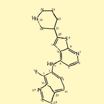 Fc1c(Nc2ccnc3sc(C4CCCNC4)cc23)ccc2scnc12